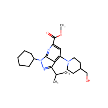 COC(=O)c1cc(N2CCC(CO)CC2)c2c(C(C)C)nn(C3CCCCC3)c2n1